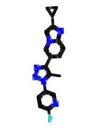 Cc1c(-c2ccc3nc(C4CC4)cn3c2)nnn1-c1ccc(F)nc1